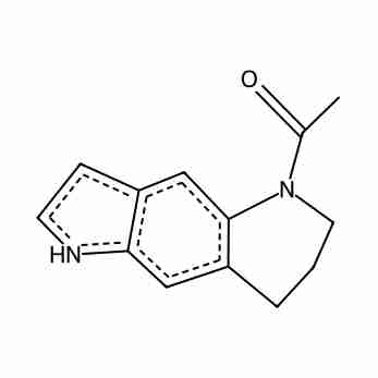 CC(=O)N1CCCc2cc3[nH]ccc3cc21